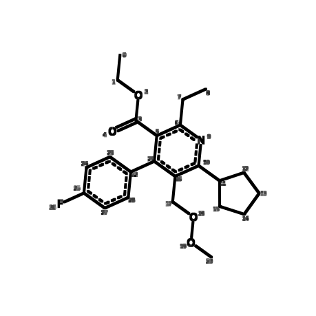 CCOC(=O)c1c(CC)nc(C2CCCC2)c(COOC)c1-c1ccc(F)cc1